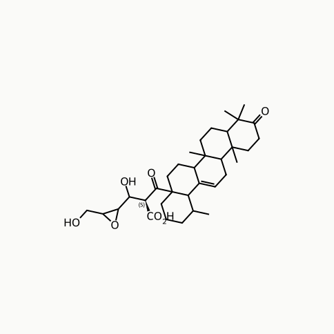 CC1CCCC2(C(=O)[C@@H](C(=O)O)C(O)C3OC3CO)CCC3C(=CCC4C3(C)CCC3C(C)(C)C(=O)CCC34C)C12